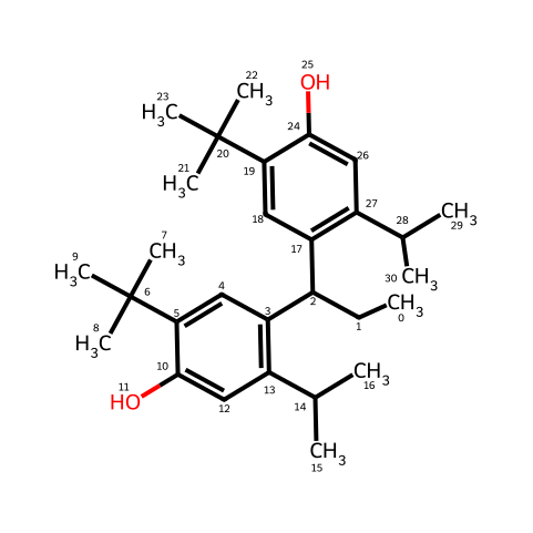 CCC(c1cc(C(C)(C)C)c(O)cc1C(C)C)c1cc(C(C)(C)C)c(O)cc1C(C)C